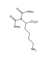 CCCCCCC(=O)N(C(=O)CCCCCC)C(CCCCN)C(=O)O